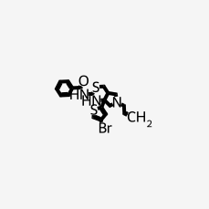 C=CCN1CC2CSC(NC(=O)c3ccccc3)NC2(c2cc(Br)cs2)C1